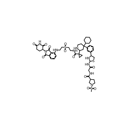 CS(=O)(=O)N1CCC(C(=O)NCC(=O)NC2NC(c3cccc(C4(C5CCCCC5)CCNC(C5(C(=O)NCCS(=O)(=O)CCNc6cccc7c6C(=O)N(C6CCC(=O)NC6=O)C7=O)CC5)C4)c3)CS2)C1